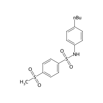 CCCCc1ccc(NS(=O)(=O)c2ccc(S(C)(=O)=O)cc2)cc1